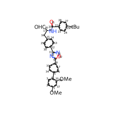 COc1ccc(-c2ccc(-c3nc(-c4ccc(CC(C=O)NC(=O)c5ccc(C(C)(C)C)cc5)cc4)no3)cc2)c(OC)c1